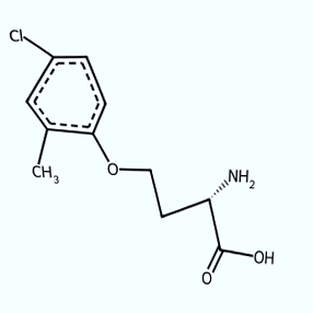 Cc1cc(Cl)ccc1OCC[C@H](N)C(=O)O